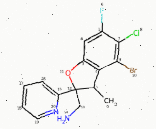 CC1c2c(cc(F)c(Cl)c2Br)OC1(CN)c1ccccn1